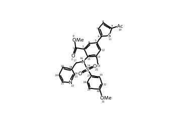 COC(=O)c1cc(-c2ccc(C(C)=O)s2)cc(C)c1N(Cc1cccnc1)S(=O)(=O)c1ccc(OC)cc1